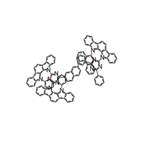 c1ccc(-c2nc(-c3ccccc3)nc(-n3c4ccccc4c4ccc5c6ccccc6n(-c6cc7ccccc7c7c(-c8ccc9ccc(-c%10nc(-n%11c%12ccccc%12c%12ccc%13c%14ccccc%14n(-c%14ccccc%14)c%13c%12%11)nc(-n%11c%12ccccc%12c%12ccc%13c%14ccccc%14n(-c%14ccccc%14)c%13c%12%11)n%10)cc9c8)cccc67)c5c43)n2)cc1